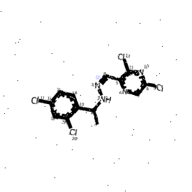 CC(N/N=C\c1ncc(Cl)nc1Cl)c1ccc(Cl)cc1Cl